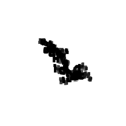 CCCCn1ncc(NCCNCC(O)COc2c(C)cc(C)cc2C)c(Cl)c1=O